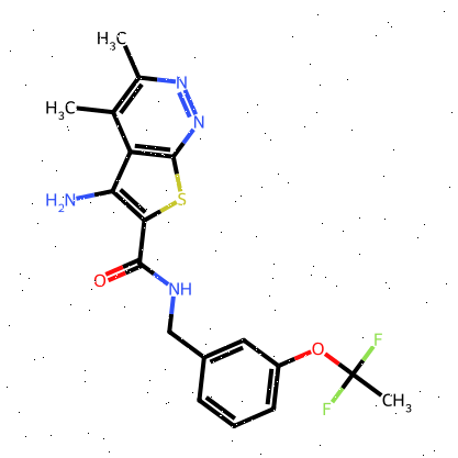 Cc1nnc2sc(C(=O)NCc3cccc(OC(C)(F)F)c3)c(N)c2c1C